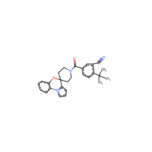 CC(C)(C)c1ccc(C(=O)N2CCC3(CC2)Oc2ccccc2-n2cccc23)cc1C#N